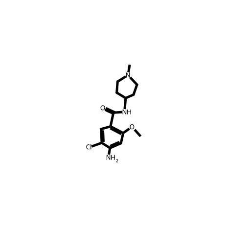 COc1cc(N)c(Cl)cc1C(=O)NC1CCN(C)CC1